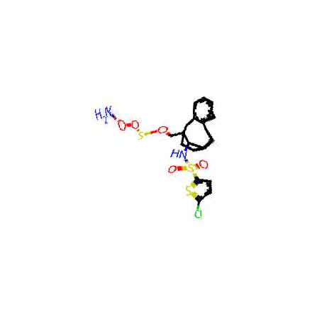 NOOSOCC12CCC(Cc3ccccc3C1)C2NS(=O)(=O)c1ccc(Cl)s1